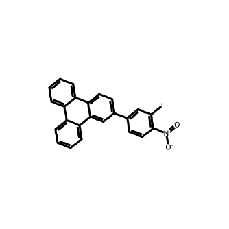 O=[N+]([O-])c1ccc(-c2ccc3c4ccccc4c4ccccc4c3c2)cc1I